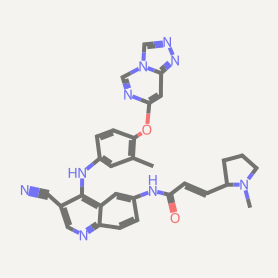 Cc1cc(Nc2c(C#N)cnc3ccc(NC(=O)/C=C/C4CCCN4C)cc23)ccc1Oc1cc2nncn2cn1